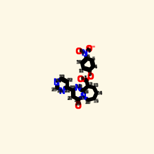 O=C(Oc1ccc([N+](=O)[O-])cc1)C1CCCCn2c1nc(-c1ccncn1)cc2=O